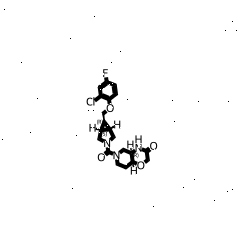 O=C1CO[C@H]2CCN(C(=O)N3C[C@@H]4[C@@H](COc5ccc(F)cc5Cl)[C@@H]4C3)C[C@H]2N1